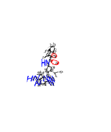 CC[C@@H]1C[C@H](NC(=O)c2oc3ccccc3c2C)C[C@@H]1c1nnc2cnc3[nH]ccc3n12